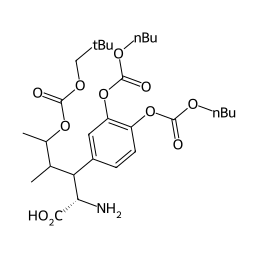 CCCCOC(=O)Oc1ccc(C(C(C)C(C)OC(=O)OCC(C)(C)C)[C@H](N)C(=O)O)cc1OC(=O)OCCCC